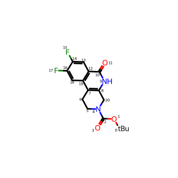 CC(C)(C)OC(=O)N1CCc2c([nH]c(=O)c3cc(F)c(F)cc23)C1